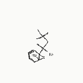 CC(C)(C)CC(C)(C)C12C=CC=CC1(O)S2.[Ba]